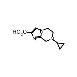 O=C(O)c1cn2c(n1)CN(C1CC1)CC2